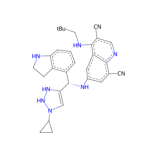 CC(C)(C)CNc1c(C#N)cnc2c(C#N)cc(N[C@H](C3=CN(C4CC4)NN3)c3cccc4c3CCN4)cc12